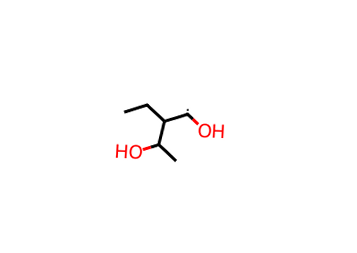 CCC([CH]O)C(C)O